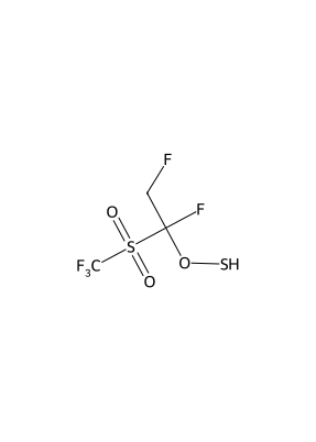 O=S(=O)(C(F)(F)F)C(F)(CF)OS